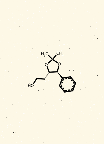 CC1(C)O[C@@H](CCO)[C@H](c2ccccc2)O1